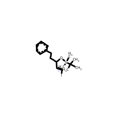 CC(C)(C)[Si](C)(C)OC(/C=C/I)CCc1ccccc1